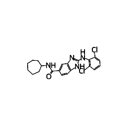 O=C(NC1CCCCCC1)c1ccc2[nH]c(Nc3c(Cl)cccc3Cl)nc2c1